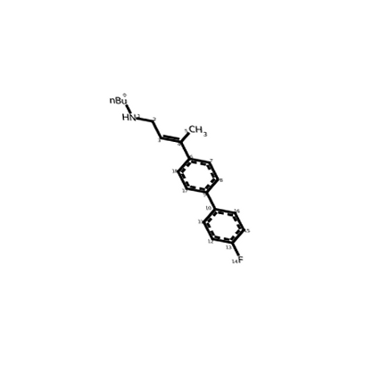 CCCCNCC=C(C)c1ccc(-c2ccc(F)cc2)cc1